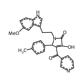 COc1ccc2[nH]cc(CCN3C(=O)C(O)=C(C(=O)c4cccnc4)C3c3ccc(C)cc3)c2c1